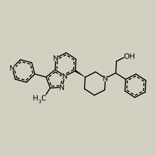 Cc1nn2c([C@@H]3CCCN(C(CO)c4ccccc4)C3)ccnc2c1-c1ccncc1